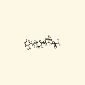 CCc1ccccc1-c1cc2ccc(OCC(COC(=O)C(C)C)C(F)(F)F)cc2o1